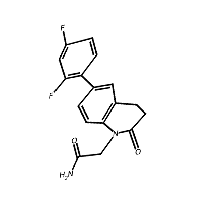 NC(=O)CN1C(=O)CCc2cc(-c3ccc(F)cc3F)ccc21